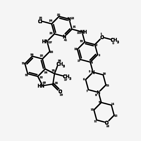 COc1cc(N2CCN(C3CCOCC3)CC2)ccc1Nc1ncc(Cl)c(NCc2cccc3c2C(C)(C)C(=O)N3)n1